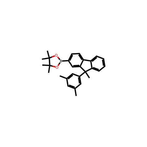 Cc1cc(C)cc(C2(C)c3ccccc3-c3ccc(B4OC(C)(C)C(C)(C)O4)cc32)c1